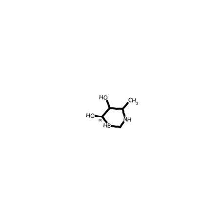 CC1NCB[C@@H](O)C1O